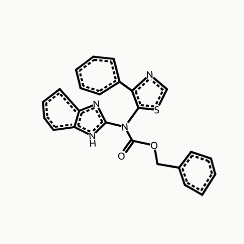 O=C(OCc1ccccc1)N(c1nc2ccccc2[nH]1)c1scnc1-c1ccccc1